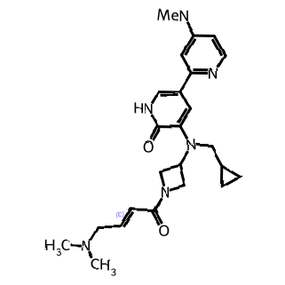 CNc1ccnc(-c2c[nH]c(=O)c(N(CC3CC3)C3CN(C(=O)/C=C/CN(C)C)C3)c2)c1